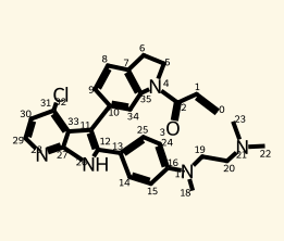 C=CC(=O)N1CCc2ccc(-c3c(-c4ccc(N(C)CCN(C)C)cc4)[nH]c4nccc(Cl)c34)cc21